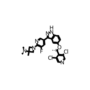 C[C@H](Oc1ccc2[nH]nc(-c3cnc(N4CC(C)(N(C)C)C4)c(F)c3)c2c1)c1c(Cl)cncc1Cl